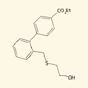 CCOC(=O)c1ccc(-c2ccccc2CSCCO)cc1